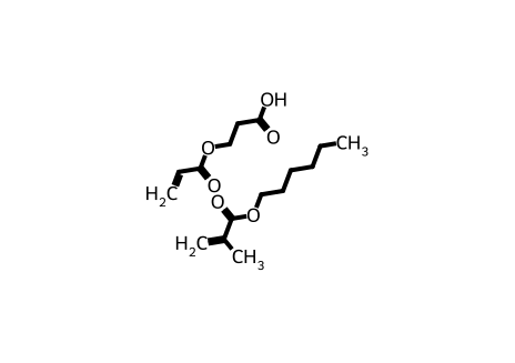 C=C(C)C(=O)OCCCCCC.C=CC(=O)OCCC(=O)O